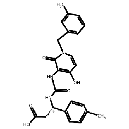 Cc1ccc([C@H](CC(=O)O)NC(=O)Nc2c(O)ccn(Cc3cccc(C)c3)c2=O)cc1